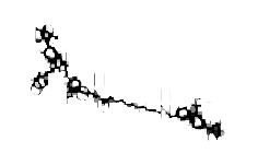 CCn1c2ccc(CNCCCCCCCCCCC(=O)NCCOc3ccc(CCc4nc5cc(-c6c(C)noc6C)ccc5n4CCN4CCOCC4)cc3F)cc2c2ccc(-c3cscn3)cc21